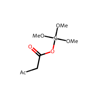 CO[Si](OC)(OC)OC(=O)CC(C)=O